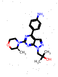 C[C@H]1COCCN1c1nc(-c2ccc(N)cc2)c2cnn(CC(C)(C)O)c2n1